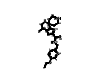 CCSc1ccc(CNC(=O)c2cc3c(s2)C2(CCNCC2)OCC3C)nc1